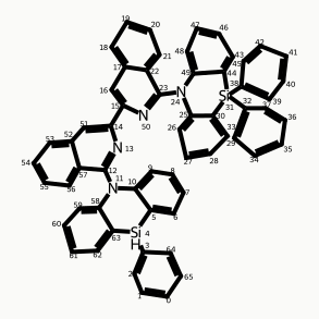 c1ccc([SiH]2c3ccccc3N(c3nc(-c4cc5ccccc5c(N5c6ccccc6[Si](c6ccccc6)(c6ccccc6)c6ccccc65)n4)cc4ccccc34)c3ccccc32)cc1